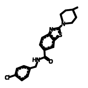 CC1CCN(c2nc3ccc(C(=O)NCc4ccc(Cl)cc4)cc3s2)CC1